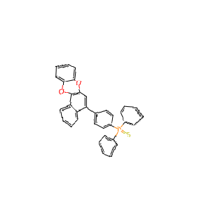 S=P(c1ccccc1)(c1ccccc1)c1ccc(-c2cc3c(c4ccccc24)Oc2ccccc2O3)cc1